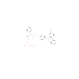 COC(CNC(=O)C(c1ccccc1)N1CCC(c2ccc(NC(=O)c3ccccc3-c3ccc(C(F)(F)F)cc3)cc2)CC1)OC